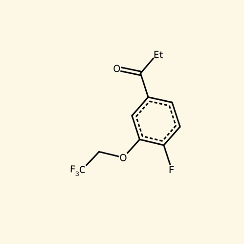 CCC(=O)c1ccc(F)c(OCC(F)(F)F)c1